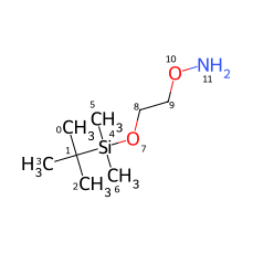 CC(C)(C)[Si](C)(C)OCCON